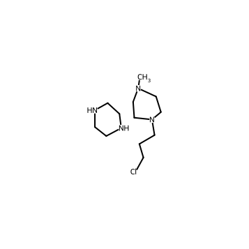 C1CNCCN1.CN1CCN(CCCCl)CC1